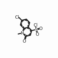 Cn1c(=O)cc(S(=O)(=O)Cl)c2ccc(Cl)cc21